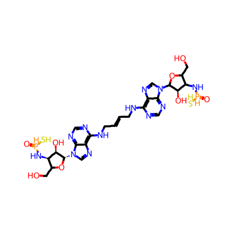 O=[PH](S)NC1C(CO)OC(n2cnc3c(NC/C=C/CNc4ncnc5c4ncn5[C@@H]4OC(CO)[C@@H](N[PH](=O)S)[C@H]4O)ncnc32)[C@@H]1O